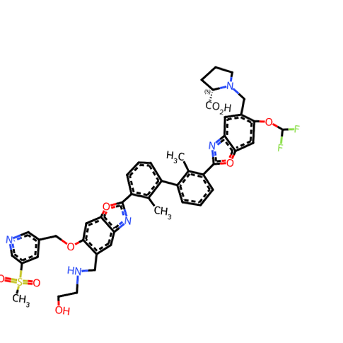 Cc1c(-c2nc3cc(CNCCO)c(OCc4cncc(S(C)(=O)=O)c4)cc3o2)cccc1-c1cccc(-c2nc3cc(CN4CCC[C@H]4C(=O)O)c(OC(F)F)cc3o2)c1C